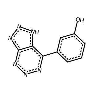 Oc1cccc(-c2nnnc3nn[nH]c23)c1